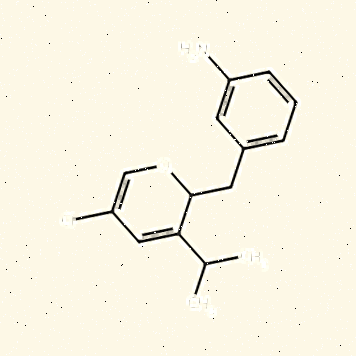 CC(C)C1=CC(Cl)=COC1Cc1cccc(N)c1